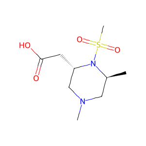 C[C@H]1CN(C)C[C@H](CC(=O)O)N1S(C)(=O)=O